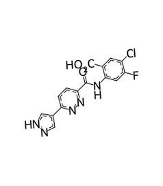 O=C(Nc1cc(F)c(Cl)cc1C(=O)O)c1ccc(-c2cn[nH]c2)nn1